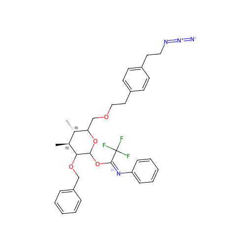 C[C@@H]1C(COCCc2ccc(CCN=[N+]=[N-])cc2)OC(O/C(=N/c2ccccc2)C(F)(F)F)C(OCc2ccccc2)[C@H]1C